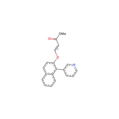 COC(=O)/C=C/Oc1ccc2ccccc2c1-c1cccnc1